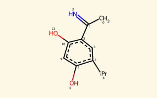 CC(=N)c1cc(C(C)C)c(O)cc1O